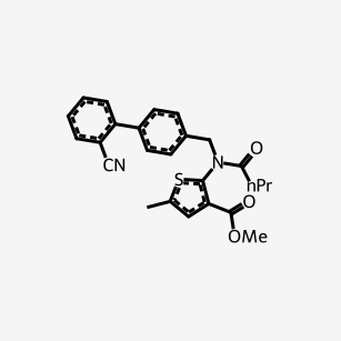 CCCC(=O)N(Cc1ccc(-c2ccccc2C#N)cc1)c1sc(C)cc1C(=O)OC